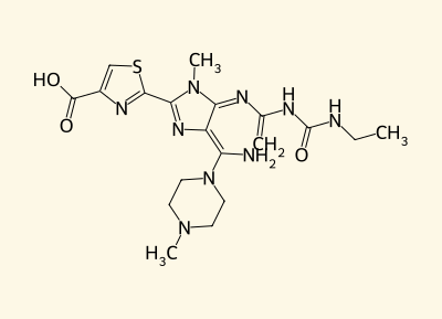 C=C(/N=C1\C(=C(/N)N2CCN(C)CC2)N=C(c2nc(C(=O)O)cs2)N1C)NC(=O)NCC